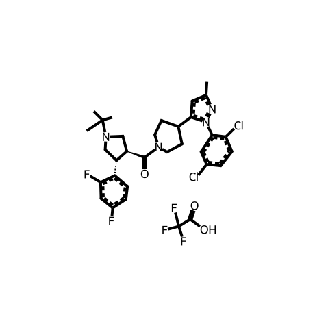 Cc1cc(C2CCN(C(=O)[C@@H]3CN(C(C)(C)C)C[C@H]3c3ccc(F)cc3F)CC2)n(-c2cc(Cl)ccc2Cl)n1.O=C(O)C(F)(F)F